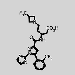 O=C(O)CC(CCN1CC(C(F)(F)F)C1)NC(=O)c1cc(-c2ccccc2C(F)(F)F)n(-c2nccs2)n1